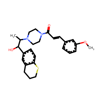 COc1cccc(C=CC(=O)N2CCN(C(C)C(O)c3ccc4c(c3)CCCS4)CC2)c1